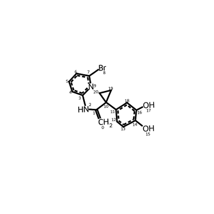 C=C(Nc1cccc(Br)n1)C1(c2ccc(O)c(O)c2)CC1